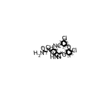 CN(CC(N)=O)c1ccc2c(COc3ccc(Cl)c(Oc4cc(Cl)cc(C#N)c4)c3)n[nH]c2n1